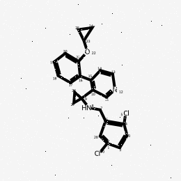 Clc1ccc(Cl)c(CNC2(c3cnccc3-c3ccccc3OC3CC3)CC2)c1